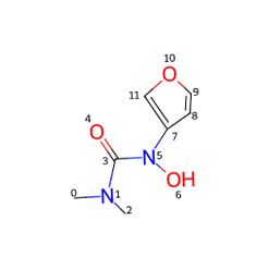 CN(C)C(=O)N(O)c1ccoc1